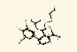 CCCCCCC(CC(C)F)c1c(C(=O)O)cccc1-c1cc(F)c(F)c(F)c1